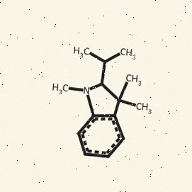 CC(C)C1N(C)c2ccccc2C1(C)C